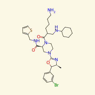 C[C@@H]1N=C(N2CCN(C(=O)C(CCCCN)CNC3CCCCC3)[C@H](C(=O)NCc3cccs3)C2)OC1c1cccc(Br)c1